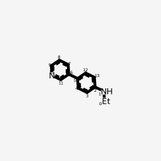 CCNc1ccc(-c2cccnc2)cc1